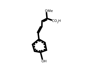 COC(=CC=Cc1ccc(O)cc1)C(=O)O